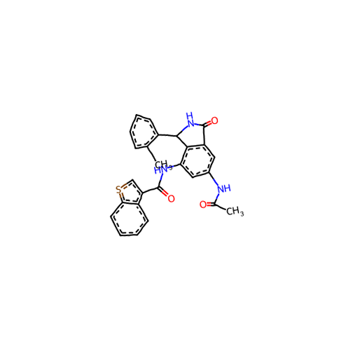 CC(=O)Nc1cc(NC(=O)c2csc3ccccc23)c2c(c1)C(=O)NC2c1ccccc1C